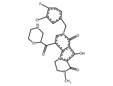 CN1CCn2c(c(O)c3c(=O)n(Cc4ccc(F)c(Cl)c4)cc(C(=O)C4CNCCO4)c32)C1=O